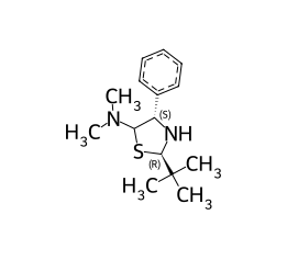 CN(C)C1S[C@H](C(C)(C)C)N[C@H]1c1ccccc1